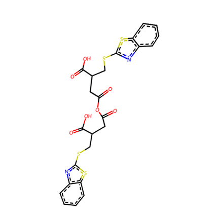 O=C(CC(CSc1nc2ccccc2s1)C(=O)O)OC(=O)CC(CSc1nc2ccccc2s1)C(=O)O